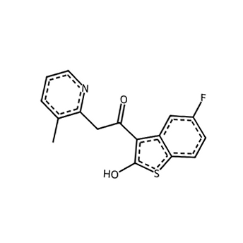 Cc1cccnc1CC(=O)c1c(O)sc2ccc(F)cc12